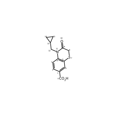 O=C(O)c1ccc2c(c1)SCC(=O)N2CC1CC1